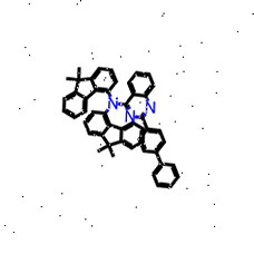 CC1(C)c2ccccc2-c2c(N(c3cccc4c3-c3ccccc3C4(C)C)c3nc(-c4ccc(-c5ccccc5)cc4)nc4ccccc34)cccc21